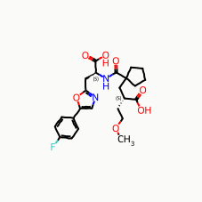 COCC[C@H](CC1(C(=O)N[C@@H](Cc2ncc(-c3ccc(F)cc3)o2)C(=O)O)CCCC1)C(=O)O